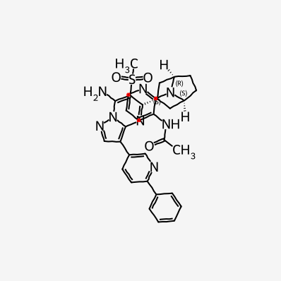 CC(=O)Nc1cccnc1N1[C@@H]2CC[C@H]1C[C@H](c1nc3c(-c4ccc(-c5ccccc5)nc4)cnn3c(N)c1S(C)(=O)=O)C2